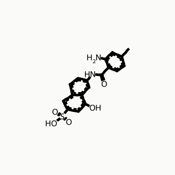 Cc1ccc(C(=O)Nc2ccc3cc(S(=O)(=O)O)cc(O)c3c2)c(N)c1